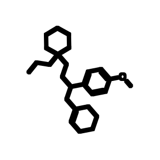 CCCC1(CCC(CC2=CCCCC2)c2ccc(OC)cc2)CCCCC1